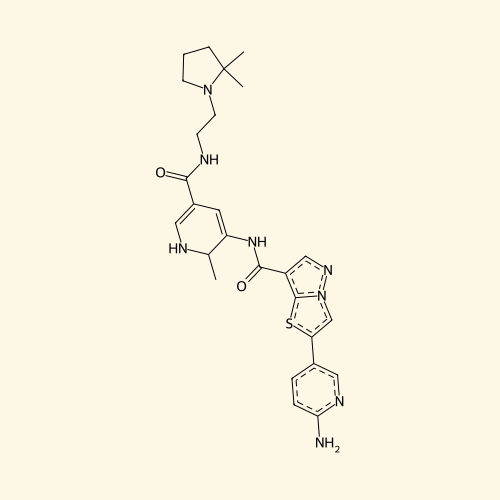 CC1NC=C(C(=O)NCCN2CCCC2(C)C)C=C1NC(=O)c1cnn2cc(-c3ccc(N)nc3)sc12